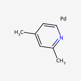 Cc1ccnc(C)c1.[Pd]